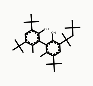 Cc1c(C(C)(C)C)cc(C(C)(C)C)c(O)c1-c1c(C)c(C(C)(C)C)cc(C(C)(C)CC(C)(C)C)c1O